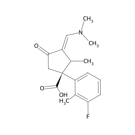 Cc1c(F)cccc1[C@]1(C(=O)O)CC(=O)C(=CN(C)C)C1C